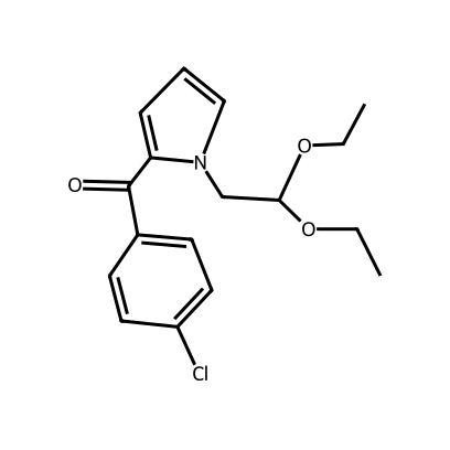 CCOC(Cn1cccc1C(=O)c1ccc(Cl)cc1)OCC